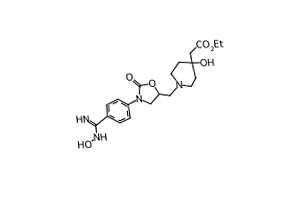 CCOC(=O)CC1(O)CCN(CC2CN(c3ccc(C(=N)NO)cc3)C(=O)O2)CC1